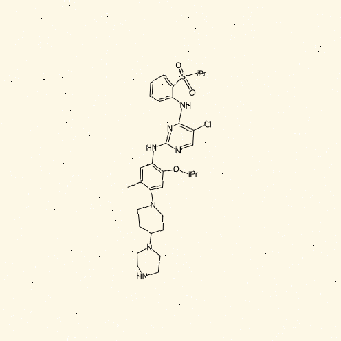 Cc1cc(Nc2ncc(Cl)c(Nc3ccccc3S(=O)(=O)C(C)C)n2)c(OC(C)C)cc1N1CCC(N2CCNCC2)CC1